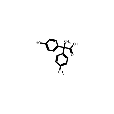 Cc1ccc(C(C)(C(=O)O)c2ccc(O)cc2)cc1